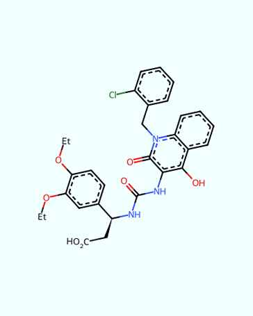 CCOc1ccc([C@H](CC(=O)O)NC(=O)Nc2c(O)c3ccccc3n(Cc3ccccc3Cl)c2=O)cc1OCC